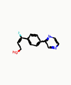 OC/C=C(/F)c1ccc(-c2cnccn2)cc1